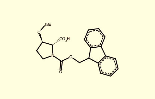 CC(C)(C)O[C@@H]1CCN(C(=O)OCC2c3ccccc3-c3ccccc32)[C@H]1C(=O)O